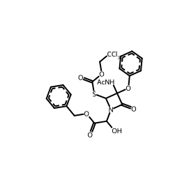 CC(=O)NC1(Oc2ccccc2)C(=O)N(C(O)C(=O)OCc2ccccc2)C1SC(=O)OCC(Cl)(Cl)Cl